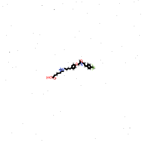 O=C(O)CCCCc1cn(CCCCc2ccc(OCc3coc(C=Cc4ccc(C(F)(F)F)cc4)n3)cc2)nn1